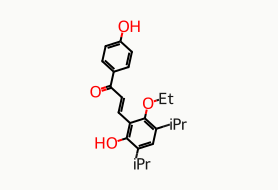 CCOc1c(C(C)C)cc(C(C)C)c(O)c1C=CC(=O)c1ccc(O)cc1